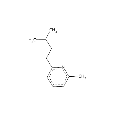 Cc1cccc(CCC(C)C)n1